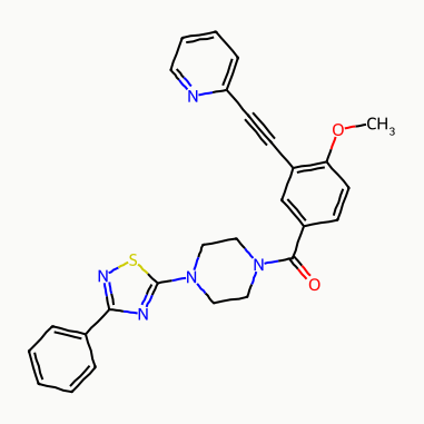 COc1ccc(C(=O)N2CCN(c3nc(-c4ccccc4)ns3)CC2)cc1C#Cc1ccccn1